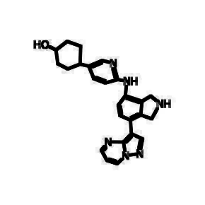 OC1CCC(c2ccc(Nc3ccc(-c4cnn5cccnc45)c4c3CNC4)nc2)CC1